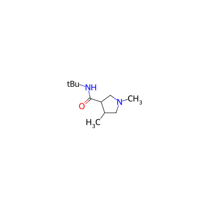 CC1CN(C)CC1C(=O)NC(C)(C)C